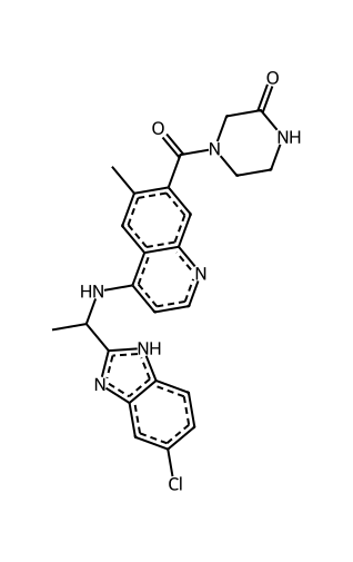 Cc1cc2c(NC(C)c3nc4cc(Cl)ccc4[nH]3)ccnc2cc1C(=O)N1CCNC(=O)C1